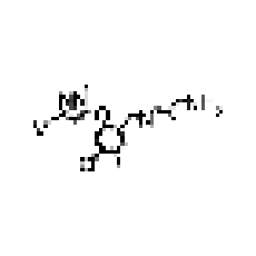 C/C(=C\N=C\c1cc(C)c(Cl)cc1Oc1cc(C2CC2)nn1C)CN